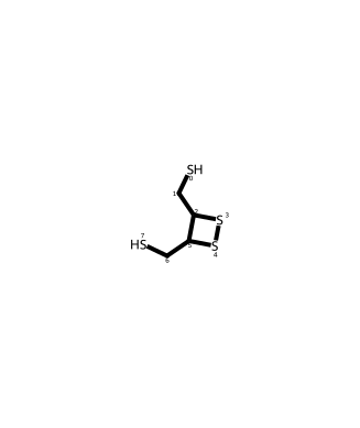 SCC1SSC1CS